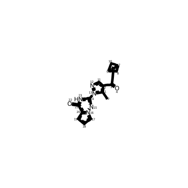 Cc1c(C(=O)N2CC3CC2C3)cnn1-c1nn2cccc2c(=O)[nH]1